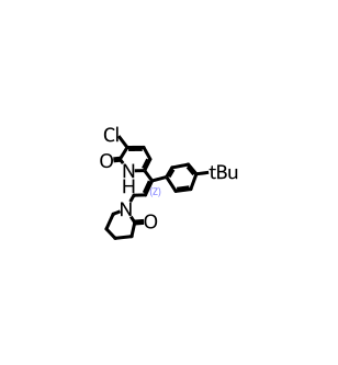 CC(C)(C)c1ccc(/C(=C/CN2CCCCC2=O)c2ccc(Cl)c(=O)[nH]2)cc1